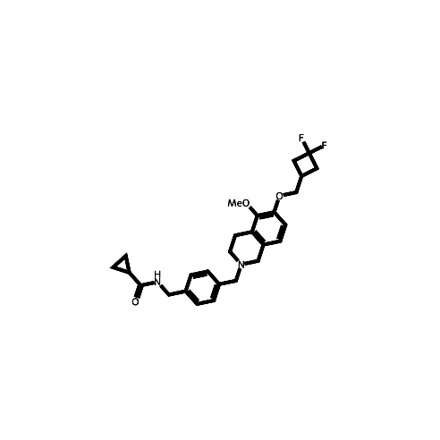 COc1c(OCC2CC(F)(F)C2)ccc2c1CCN(Cc1ccc(CNC(=O)C3CC3)cc1)C2